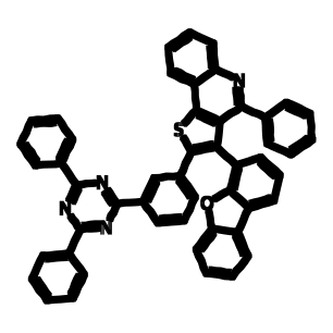 c1ccc(-c2nc(-c3ccccc3)nc(-c3cccc(-c4sc5c(c(-c6ccccc6)nc6ccccc65)c4-c4cccc5c4oc4ccccc45)c3)n2)cc1